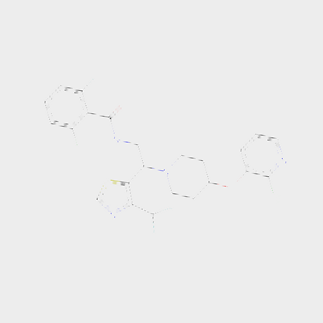 O=C(NCC(c1scnc1C(F)F)N1CCC(Oc2cccnc2Cl)CC1)c1c(F)cccc1Cl